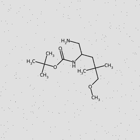 COCC(C)(C)CC(CN)NC(=O)OC(C)(C)C